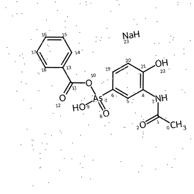 CC(=O)Nc1cc([As](=O)(O)OC(=O)c2ccccc2)ccc1O.[NaH]